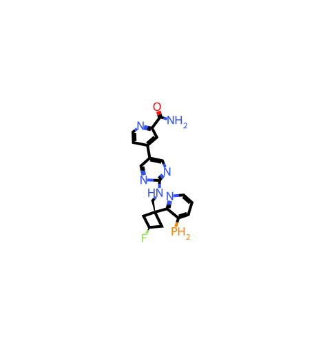 NC(=O)c1cc(-c2cnc(NC[C@]3(c4ncccc4P)C[C@H](F)C3)nc2)ccn1